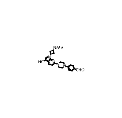 CN[C@H]1C[C@H](n2cc(C#N)c3ccc(N4CCN(c5ccc(C=O)cc5)CC4)nc32)C1